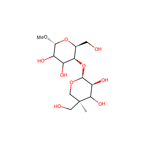 CO[C@@H]1O[C@@H](CO)[C@@H](O[C@@H]2OC[C@](C)(CO)C(O)[C@@H]2O)C(O)C1O